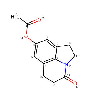 CC(=O)Oc1cc2c3c(c1)CCN3C(=O)CC2